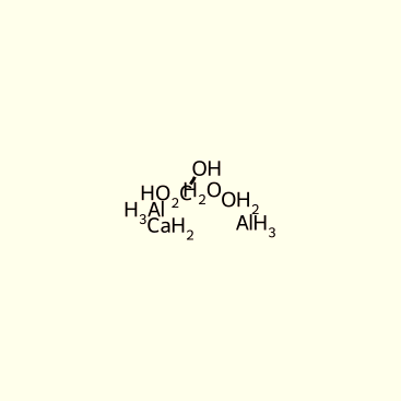 O.O.O=C(O)O.[AlH3].[AlH3].[CaH2]